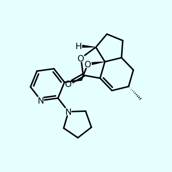 C[C@@H]1C=C2C(=O)O[C@@H]3CCC(C1)[C@]23OCc1cccnc1N1CCCC1